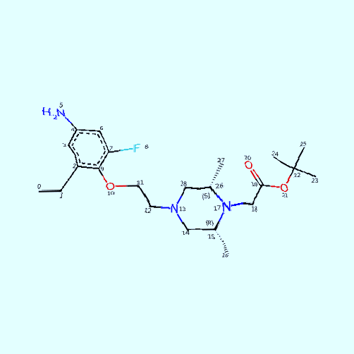 CCc1cc(N)cc(F)c1OCCN1C[C@@H](C)N(CC(=O)OC(C)(C)C)[C@@H](C)C1